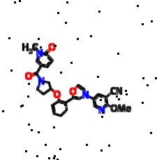 COc1ncc(N2C=COC(C3=C(O[C@H]4CCN(C(=O)c5ccc(=O)n(C)c5)C4)C=CCC3)=C2)cc1C#N